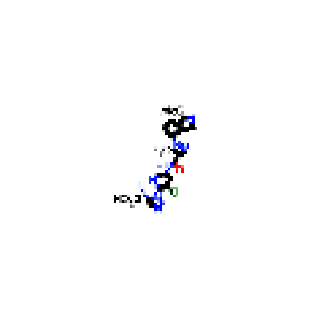 COc1nccc2c(-n3ncc(C(=O)Nc4cnc(-n5nncc5NC(=O)O)c(Cl)c4)c3C(F)(F)F)cccc12